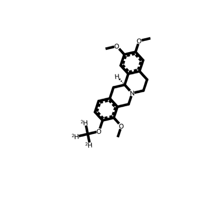 [2H]C([2H])([2H])Oc1ccc2c(c1OC)CN1CCc3cc(OC)c(OC)cc3[C@@H]1C2